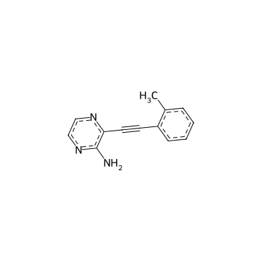 Cc1ccccc1C#Cc1nccnc1N